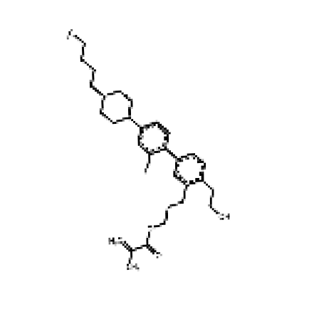 C=C(C)C(=O)OCCCc1cc(-c2ccc(C3CCC(CCCCC)CC3)cc2F)ccc1CCO